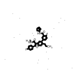 CCCc1cc2oc(-c3ccc(F)cc3)c(C(=O)NC)c2cc1-c1ccc(F)c(C(=O)NC23CCC(C2)C3)c1